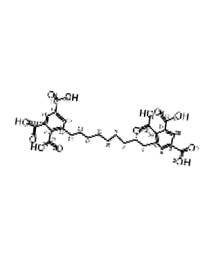 O=C(O)c1cc(CCCCCCCCCc2cc(C(=O)O)cc(C(=O)O)c2C(=O)O)c(C(=O)O)c(C(=O)O)c1